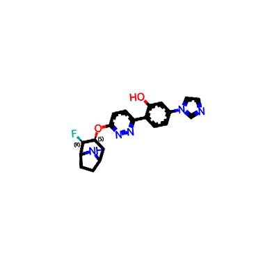 Oc1cc(-n2ccnc2)ccc1-c1ccc(O[C@H]2CC3CCC(N3)[C@H]2F)nn1